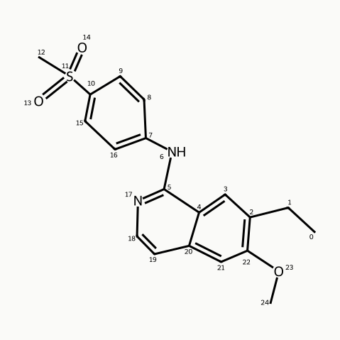 CCc1cc2c(Nc3ccc(S(C)(=O)=O)cc3)nccc2cc1OC